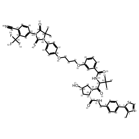 Cc1ncsc1-c1ccc(CNC(=O)[C@@H]2C[C@@H](O)CN2C(=O)C(NC(=O)c2cccc(OCCCOc3ccc(N4C(=S)N(c5ccc(C#N)c(C(F)(F)F)c5)C(=O)C4(C)C)cc3)c2)C(C)(C)C)cc1